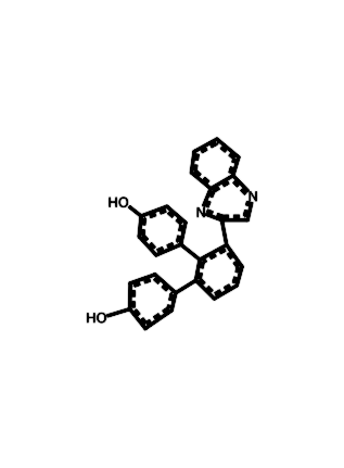 Oc1ccc(-c2cccc(-c3cnc4ccccc4n3)c2-c2ccc(O)cc2)cc1